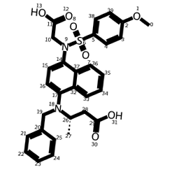 COc1ccc(S(=O)(=O)N(CC(=O)O)c2ccc(N(Cc3ccccc3)[C@@H](C)CC(=O)O)c3ccccc23)cc1